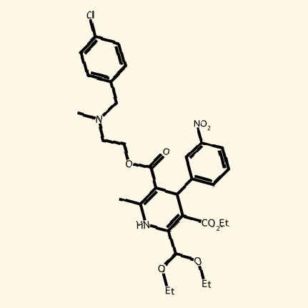 CCOC(=O)C1=C(C(OCC)OCC)NC(C)=C(C(=O)OCCN(C)Cc2ccc(Cl)cc2)C1c1cccc([N+](=O)[O-])c1